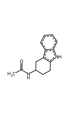 CC(=O)NC1CCc2[nH]c3ccccc3c2C1